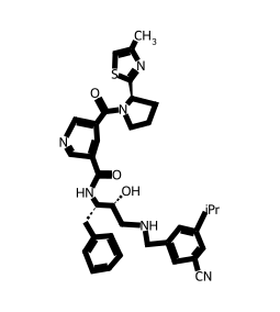 Cc1csc([C@H]2CCCN2C(=O)c2cncc(C(=O)N[C@@H](Cc3ccccc3)[C@H](O)CNCc3cc(C#N)cc(C(C)C)c3)c2)n1